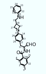 Cc1cc(C)c(C(=O)NC(C=O)Cc2ccc(N3CC(CNc4ccccn4)C3)cc2)c(C)c1